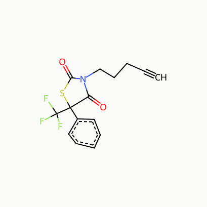 C#CCCCN1C(=O)SC(c2ccccc2)(C(F)(F)F)C1=O